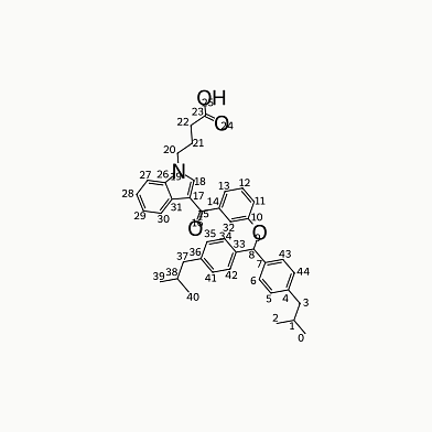 CC(C)Cc1ccc(C(Oc2cccc(C(=O)c3cn(CCCC(=O)O)c4ccccc34)c2)c2ccc(CC(C)C)cc2)cc1